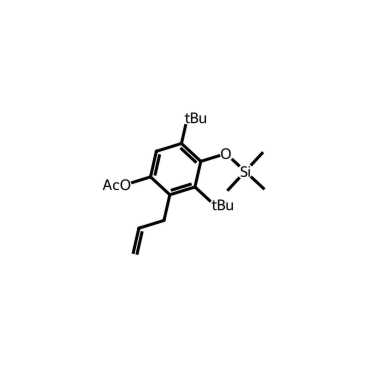 C=CCc1c(OC(C)=O)cc(C(C)(C)C)c(O[Si](C)(C)C)c1C(C)(C)C